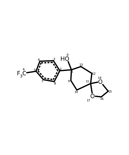 OC1(c2ccc(C(F)(F)F)cc2)CCC2(CC1)OCCO2